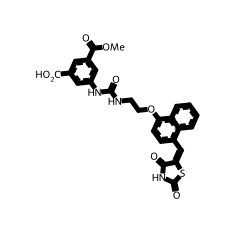 COC(=O)c1cc(NC(=O)NCCOc2ccc(/C=C3/SC(=O)NC3=O)c3ccccc23)cc(C(=O)O)c1